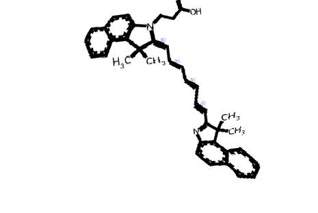 CC1(C)C(/C=C/C=C/C=C/C=C2/N(CCC(=O)O)c3ccc4ccccc4c3C2(C)C)=Nc2ccc3ccccc3c21